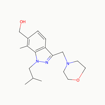 Cc1c(CO)ccc2c(CN3CCOCC3)nn(CC(C)C)c12